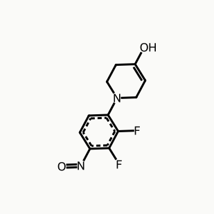 O=Nc1ccc(N2CC=C(O)CC2)c(F)c1F